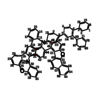 c1ccc(-c2ccc(-c3ccc(N(c4ccccc4-c4ccc5c(c4)c4cccc6c4n5-c4ccccc4O6)c4ccccc4-c4cccc5oc6c7ccccc7ccc6c45)cc3)cc2-c2ccccc2)cc1